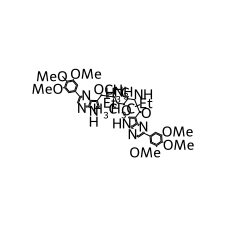 CCC(C)(C(=N)C(C)C(=O)C(C)C(=N)C(C)(CC)C(=O)c1c[nH]c2ncc(-c3cc(OC)c(OC)c(OC)c3)nc12)C(=O)c1c[nH]c2ncc(-c3cc(OC)c(OC)c(OC)c3)nc12